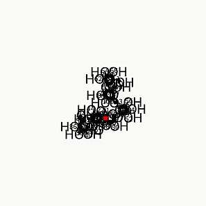 OC[C@H]1O[C@H](O[C@H]2[C@H](O)[C@@H](O)[C@H](OC[C@H]3O[C@H](O[C@H]4O[C@H](CO[C@@H]5O[C@H](CO)[C@@H](O[C@H]6O[C@H](CO)[C@@H](O)[C@H](O)[C@H]6O)[C@H](O)[C@H]5O)[C@@H](O)[C@H](O)[C@H]4O)[C@H](O)[C@@H](O)[C@@H]3O)O[C@@H]2CO)[C@H](O)[C@@H](O)[C@@H]1O